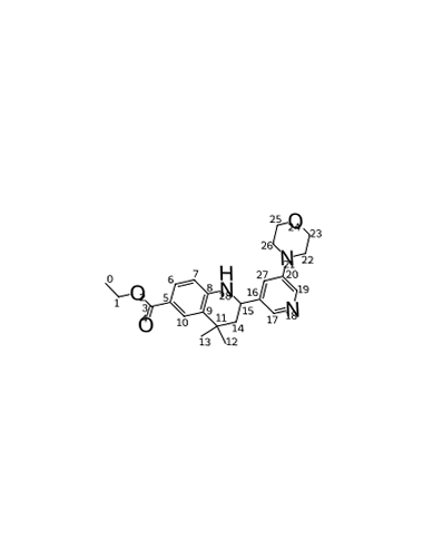 CCOC(=O)c1ccc2c(c1)C(C)(C)CC(c1cncc(N3CCOCC3)c1)N2